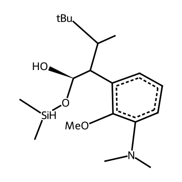 COc1c(C(C(C)C(C)(C)C)[C@H](O)O[SiH](C)C)cccc1N(C)C